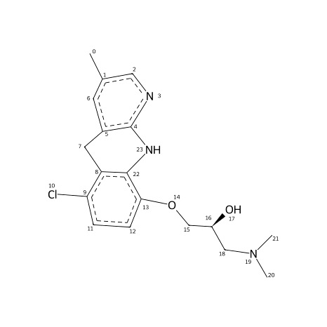 Cc1cnc2c(c1)Cc1c(Cl)ccc(OC[C@@H](O)CN(C)C)c1N2